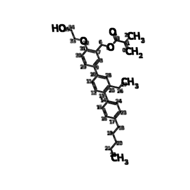 C=C(C)C(=O)OCc1cc(-c2ccc(-c3ccc(CCCCC)cc3)c(CC)c2)ccc1OCCO